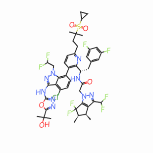 C[C@@H]1c2c(C(F)F)nn(CC(=O)N[C@@H](Cc3cc(F)cc(F)c3)c3nc(CCC(C)(C)S(=O)(=O)C4CC4)ccc3-c3ccc(Cl)c4c(Nc5nnc(C(C)(C)O)o5)nn(CC(F)F)c34)c2C(F)(F)[C@@H]1C